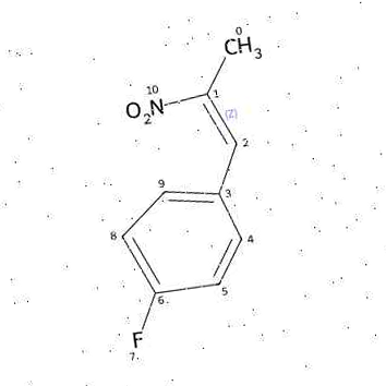 C/C(=C/c1ccc(F)cc1)[N+](=O)[O-]